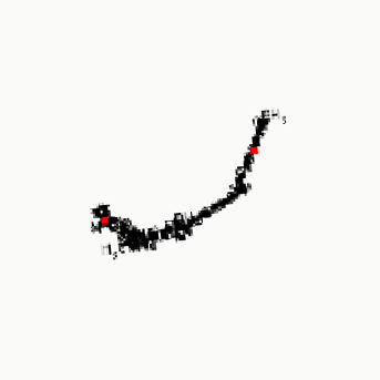 C=C1C[C@H](NC(=O)c2ncn(-c3ncc(OC)c4c(C(=O)C(=O)N5CCC(=C(C#N)c6ccccc6)CC5)c[nH]c34)n2)CN1c1ncnc(NCCOCCOCCOCCOCc2cn(CCOCCOCCOCCOCCC(=O)CC)nn2)c1CO